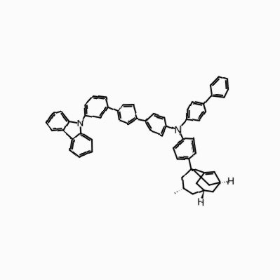 C[C@H]1C[C@@H]2CC3=C[C@@H](C2)CC3(c2ccc(N(c3ccc(-c4ccccc4)cc3)c3ccc(-c4ccc(-c5cccc(-n6c7ccccc7c7ccccc76)c5)cc4)cc3)cc2)C1